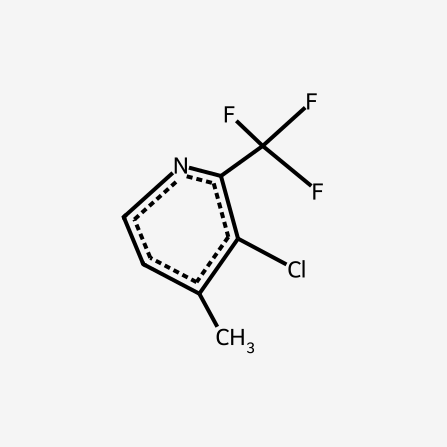 Cc1ccnc(C(F)(F)F)c1Cl